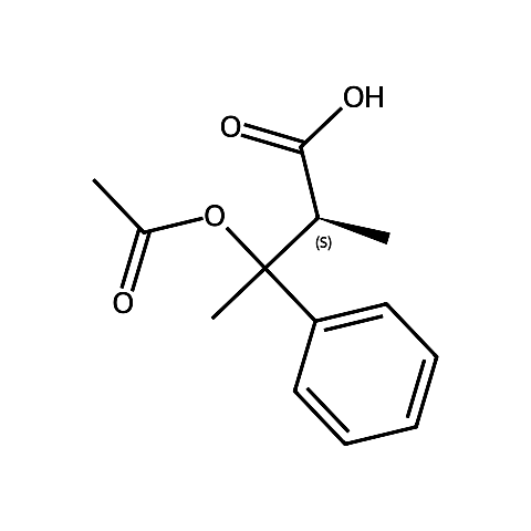 CC(=O)OC(C)(c1ccccc1)[C@H](C)C(=O)O